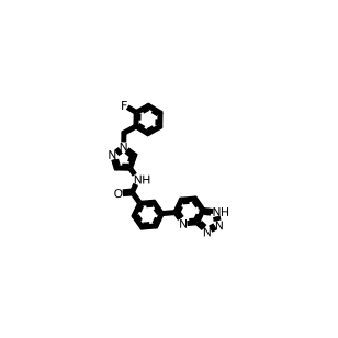 O=C(Nc1cnn(Cc2ccccc2F)c1)c1cccc(-c2ccc3[nH]nnc3n2)c1